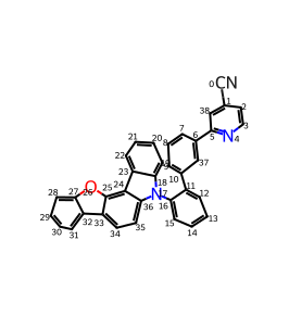 N#Cc1ccnc(-c2cccc(-c3ccccc3-n3c4ccccc4c4c5oc6ccccc6c5ccc43)c2)c1